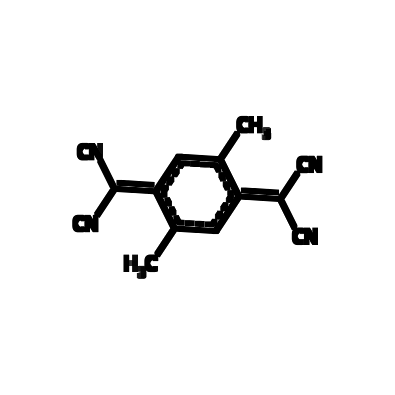 [C-]#[N+]C([N+]#[C-])=c1cc(C)c(=C(C#N)C#N)cc1C